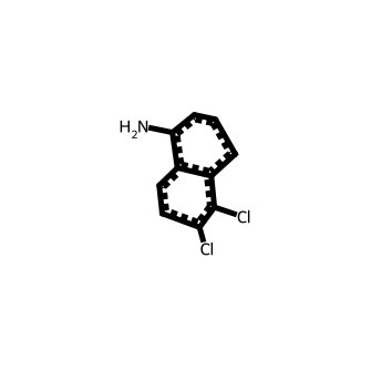 Nc1cccc2c(Cl)c(Cl)ccc12